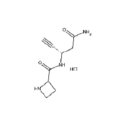 C#C[C@H](CC(N)=O)NC(=O)C1CCN1.Cl